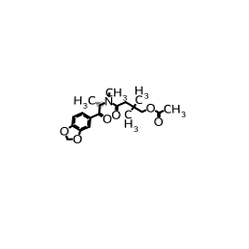 CC(=O)OCC(C)(C)CC(=O)N(C)[C@@H](C)C(=O)c1ccc2c(c1)OCO2